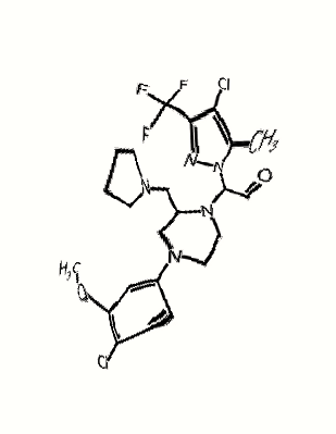 COc1cc(N2CCN(C(C=O)n3nc(C(F)(F)F)c(Cl)c3C)C(CN3CCCC3)C2)ccc1Cl